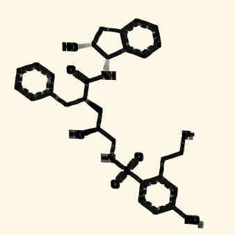 CC(C)CCc1cc([N+](=O)[O-])ccc1S(=O)(=O)NC[C@@H](O)C[C@@H](Cc1ccccc1)C(=O)N[C@H]1c2ccccc2C[C@H]1O